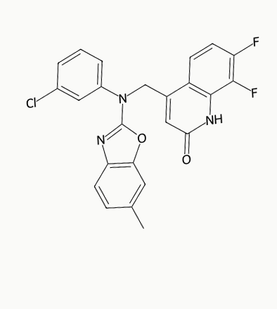 Cc1ccc2nc(N(Cc3cc(=O)[nH]c4c(F)c(F)ccc34)c3cccc(Cl)c3)oc2c1